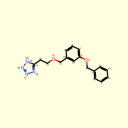 c1ccc(COc2cccc(COCCc3nnn[nH]3)c2)cc1